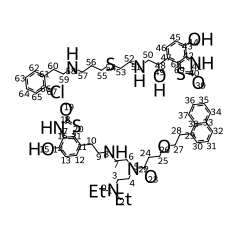 CCN(CC)CCN(CCNCCc1ccc(O)c2[nH]c(=O)sc12)C(=O)CCOCCc1cccc2ccccc12.O=c1[nH]c2c(O)ccc(C(O)CNCCSCCCNCCc3ccccc3Cl)c2s1